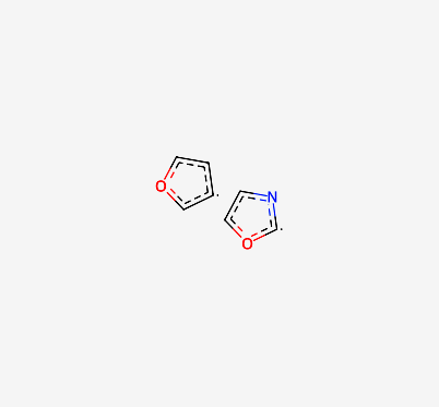 [c]1ccoc1.[c]1ncco1